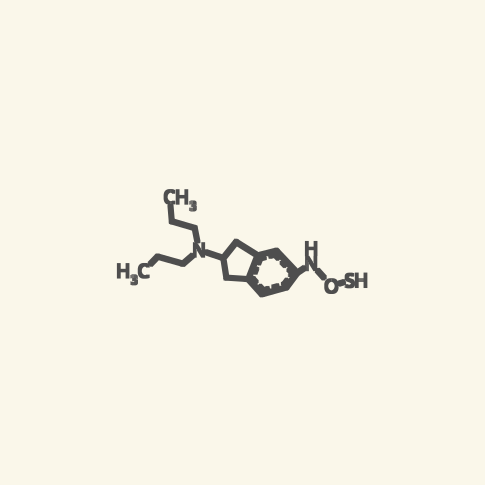 CCCN(CCC)C1Cc2ccc(NOS)cc2C1